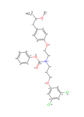 CCOC(Cc1ccc(OCCN(CCCOc2cc(Cl)cc(Cl)c2)C(=O)Oc2ccccc2)cc1)C(=O)O